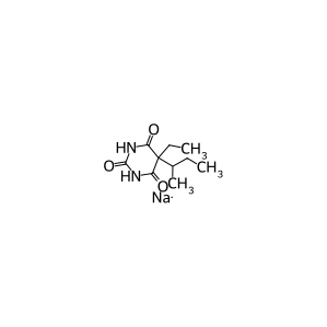 CCC(C)C1(CC)C(=O)NC(=O)NC1=O.[Na]